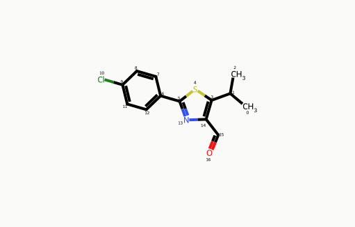 CC(C)c1sc(-c2ccc(Cl)cc2)nc1C=O